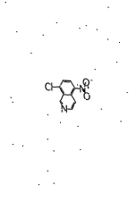 O=[N+]([O-])c1ccc(Cl)c2cnccc12